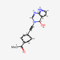 COC(=O)c1ccc(C#CN2C=Nc3[nH]ccc3C2O)cc1